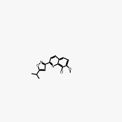 COc1ccc2[c]cc(-c3cc(C(C)C)on3)nc2c1Cl